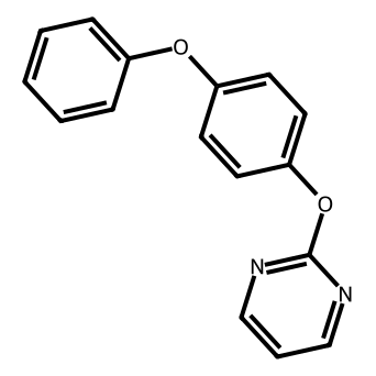 c1ccc(Oc2ccc(Oc3ncccn3)cc2)cc1